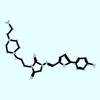 O=C1CN(N=Cc2ccc(-c3ccc(Cl)cc3)o2)C(=O)N1CCCN1CCN(CCS)CC1